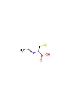 CC=N[C@@H](CS)C(=O)O